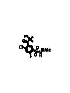 CCC(C)(C)C(=O)c1cc(S(=O)(=O)NOC)c(F)cc1Cl